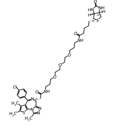 Cc1sc2c(c1C)C(c1ccc(Cl)cc1)=N[C@H](CC(=O)NCCCOCCOCCOCCCNC(=O)CCCC[C@H]1SC[C@H]3NC(=O)N[C@H]31)c1nnc(C)n1-2